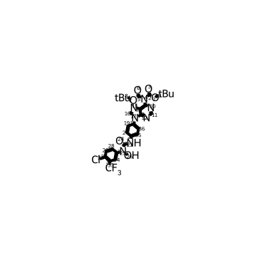 CC(C)(C)OC(=O)N(C(=O)OC(C)(C)C)c1ncnc2c1ncn2-c1ccc(NC(=O)N(O)c2ccc(Cl)c(C(F)(F)F)c2)cc1